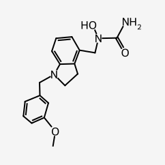 COc1cccc(CN2CCc3c(CN(O)C(N)=O)cccc32)c1